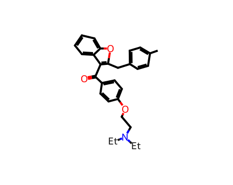 CCN(CC)CCOc1ccc(C(=O)c2c(Cc3ccc(C)cc3)oc3ccccc23)cc1